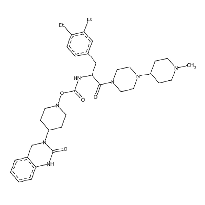 CCc1ccc(CC(NC(=O)ON2CCC(N3Cc4ccccc4NC3=O)CC2)C(=O)N2CCN(C3CCN(C)CC3)CC2)cc1CC